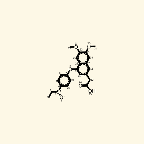 CC[S+]([O-])c1ccc(Oc2cc(CC(=O)O)cc3cc(OC)c(OC)cc23)cc1